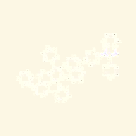 c1ccc(-c2c3cc4c5ccccc5c5cccc(c3c(-c3ccccc3)c3c6cccc7c(-c8ccc(-n9c(-c%10ccccc%10)nc%10ccccc%109)cc8)ccc(c23)c76)c54)cc1